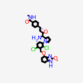 CNC(=O)c1ccc(/C=C/C(=O)C(N)c2cccn2-c2ccc(Cl)c(COc3cccc4[nH]c(OC)nc34)c2Cl)cc1